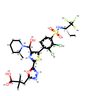 CC[C@H](NS(=O)(=O)c1ccc(-c2sc(-c3nnc(CC(C)(C)C(=O)O)o3)nc2C(O)N2CCCC[C@@H]2C)c(Cl)c1Cl)C(F)(F)F